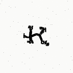 [2H][C@H](C)C([2H])([2H])I